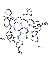 Cc1ccc2c(c1)c1cc(C)ccc1n2-c1c(C#N)c(-n2c3ccc(C)cc3c3cc(C)ccc32)c(-n2c3ccc(C)cc3c3cc(C)ccc32)c(-c2cccc(-n3c4ccccc4c4cccnc43)c2)c1-n1c2ccc(C)cc2c2cc(C)ccc21